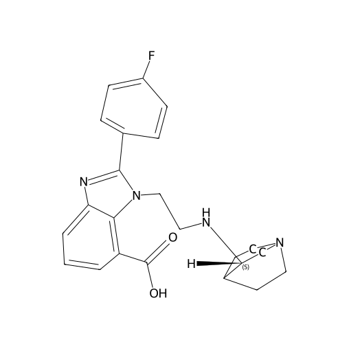 O=C(O)c1cccc2nc(-c3ccc(F)cc3)n(CCN[C@@H]3CN4CCC3CC4)c12